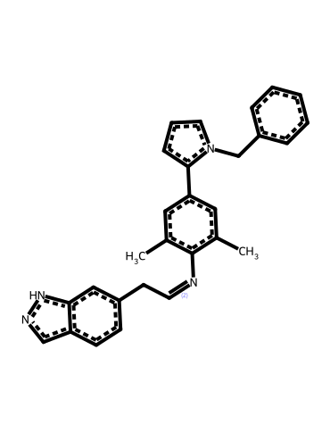 Cc1cc(-c2cccn2Cc2ccccc2)cc(C)c1/N=C\Cc1ccc2cn[nH]c2c1